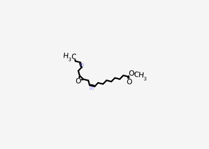 CC/C=C\CC1OC1C/C=C\CCCCCCCC(=O)OC